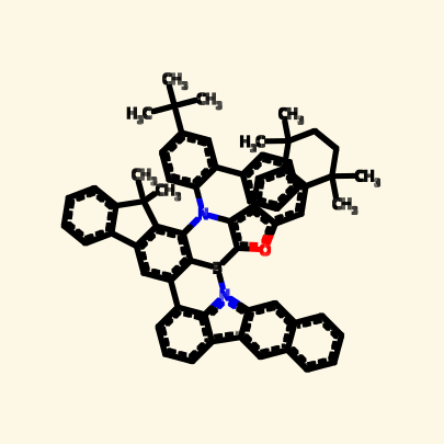 CC(C)(C)c1ccc(N2c3c4c(cc5c3C(C)(C)c3ccccc3-5)-c3cccc5c6cc7ccccc7cc6n(c35)B4c3oc4cc5c(cc4c32)C(C)(C)CCC5(C)C)c(-c2ccccc2)c1